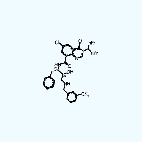 CCCC(CCC)n1cnc2c(C(=O)N[C@@H](Cc3ccccc3)[C@@H](O)CNCc3cccc(C(F)(F)F)c3)cc(Cl)cc2c1=O